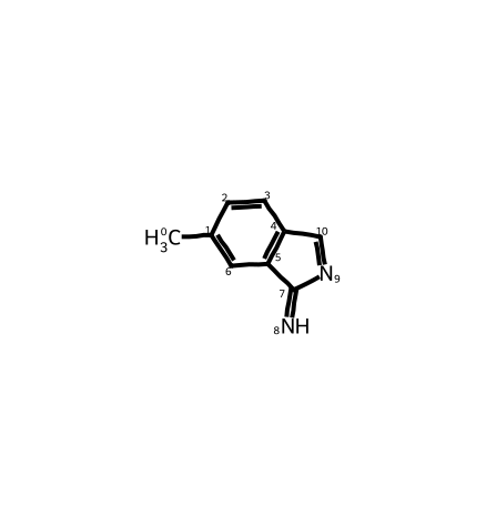 Cc1ccc2c(c1)C(=N)N=C2